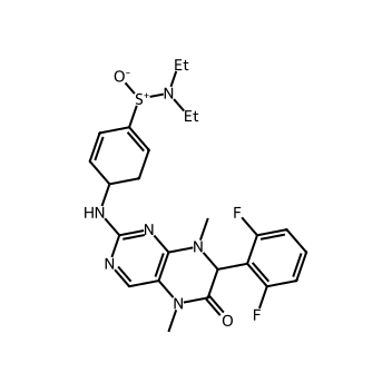 CCN(CC)[S+]([O-])C1=CCC(Nc2ncc3c(n2)N(C)C(c2c(F)cccc2F)C(=O)N3C)C=C1